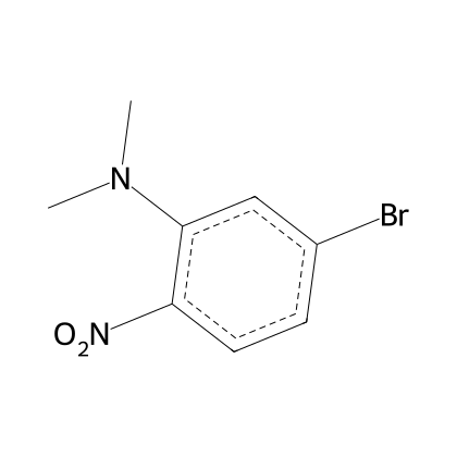 CN(C)c1cc(Br)ccc1[N+](=O)[O-]